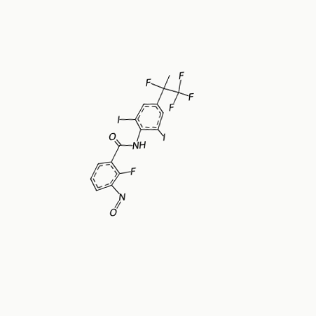 CC(F)(c1cc(I)c(NC(=O)c2cccc(N=O)c2F)c(I)c1)C(F)(F)F